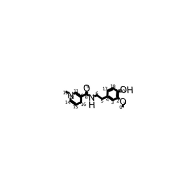 COc1cc(CCNC(=O)C2=CN(C)C=CC2)ccc1O